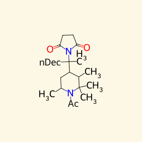 CCCCCCCCCCC(C)(C1CC(C)N(C(C)=O)C(C)(C)C1C)N1C(=O)CCC1=O